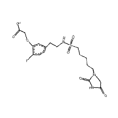 O=C(O)COc1cc(CCNS(=O)(=O)CCCCCN2CC(=O)NC2=O)ccc1F